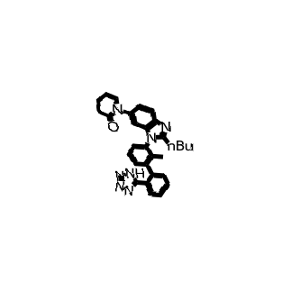 CCCCc1nc2ccc(N3CCCCC3=O)cc2n1-c1cccc(-c2ccccc2-c2nnn[nH]2)c1C